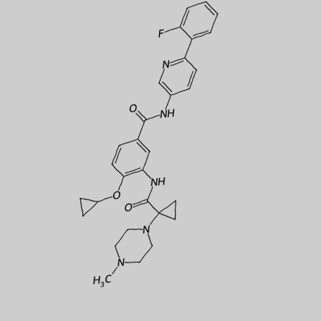 CN1CCN(C2(C(=O)Nc3cc(C(=O)Nc4ccc(-c5ccccc5F)nc4)ccc3OC3CC3)CC2)CC1